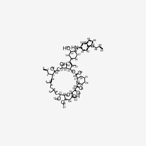 C=CCC1/C=C(\C)CC(C)CC(OC)C2OC(O)(C(=O)C(=O)N3CCCCC3C(=O)OC(C(C)=CC3CCC(Nc4ccc5c(ccn5CC=C)c4)C(O)C3)C(C)C(O)CC1=O)C(C)CC2OC